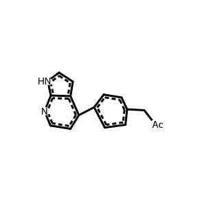 CC(=O)Cc1ccc(-c2ccnc3[nH]ccc23)cc1